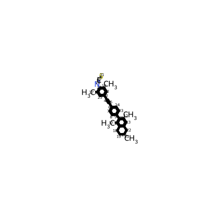 Cc1cc(C#Cc2ccc(-c3c(C)cc4c(c3C)CCC(C)C4)cc2)cc(C)c1N=C=S